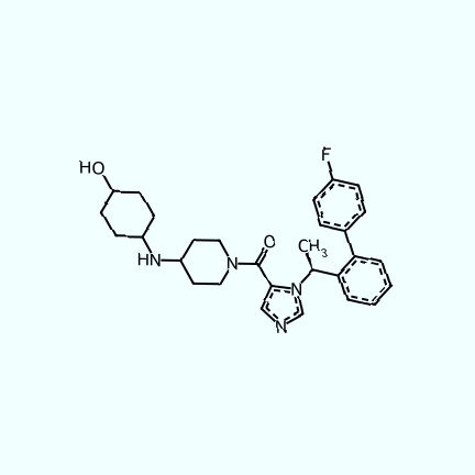 C[C@@H](c1ccccc1-c1ccc(F)cc1)n1cncc1C(=O)N1CCC(NC2CCC(O)CC2)CC1